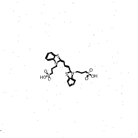 O=S(=O)(O)CCCN1C(=CC=Cc2sc3ccccc3[n+]2CCCS(=O)(=O)O)Sc2ccccc21